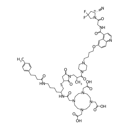 Cc1ccc(CCCC(=O)NCCCCC(CSC2CC(=O)N(CC(C)C(=O)N3CCN(CCCCOc4ccc5nccc(C(=O)NCC(=O)N6CC(F)(F)C[C@@H]6C#N)c5c4)CC3)C2=O)NC(=O)CN2CCN(CC(=O)O)CCN(CC(=O)O)CCN(CC(=O)O)CC2)cc1